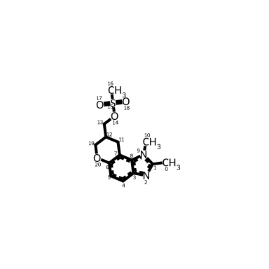 Cc1nc2ccc3c(c2n1C)CC(COS(C)(=O)=O)CO3